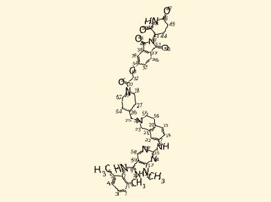 Cc1cccc(C)c1Nc1nn(C)c2nc(Nc3ccc4c(c3)CN(CC3CCN(C(=O)COc5ccc6c(c5)C(=O)N(C5CCC(=O)NC5=O)C6=O)CC3)CC4)ncc12